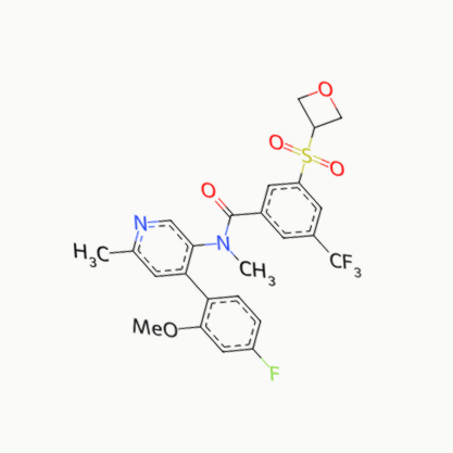 COc1cc(F)ccc1-c1cc(C)ncc1N(C)C(=O)c1cc(C(F)(F)F)cc(S(=O)(=O)C2COC2)c1